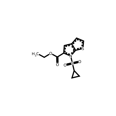 CCOC(=O)c1cc2ccsc2n1S(=O)(=O)C1CC1